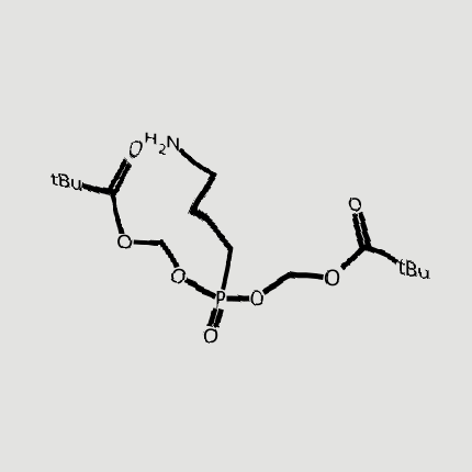 CC(C)(C)C(=O)OCOP(=O)(CCCN)OCOC(=O)C(C)(C)C